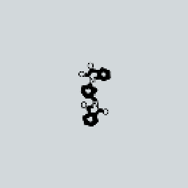 O=C1C(=O)N(c2cccc(CN3C(=O)c4ccccc4C3=O)c2)c2ccccc21